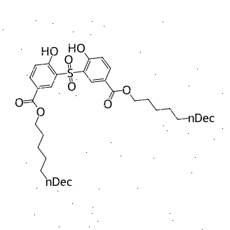 CCCCCCCCCCCCCCCOC(=O)c1ccc(O)c(S(=O)(=O)c2cc(C(=O)OCCCCCCCCCCCCCCC)ccc2O)c1